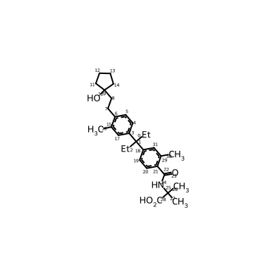 CCC(CC)(c1ccc(CCC2(O)CCCC2)c(C)c1)c1ccc(C(=O)NC(C)(C)C(=O)O)c(C)c1